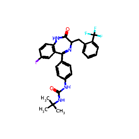 CC(C)(C)NC(=O)Nc1ccc(C2=NC(Cc3ccccc3C(F)(F)F)C(=O)Nc3ccc(I)cc32)cc1